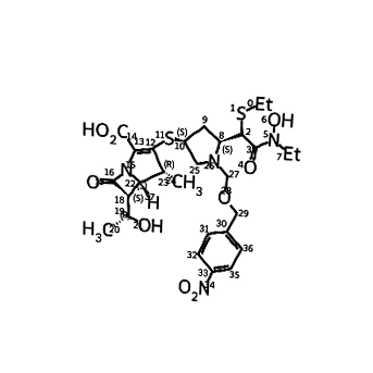 CCSC(C(=O)N(O)CC)[C@@H]1C[C@H](SC2=C(C(=O)O)N3C(=O)[C@H]([C@@H](C)O)[C@H]3[C@H]2C)CN1COCc1ccc([N+](=O)[O-])cc1